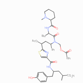 CCCC(=O)OCN(C(=O)C(NC(=O)C1CCCCN1C)C(C)CC)C(CC(OC(C)=O)c1nc(C(=O)NC(Cc2ccc(O)cc2)CC(C)C(=O)O)cs1)C(C)C